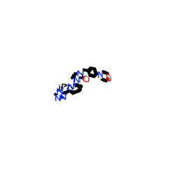 CC(C)n1cnnc1-c1cccc(N2CCN(Cc3ccc(N4CCOCC4)cc3)C2=O)n1